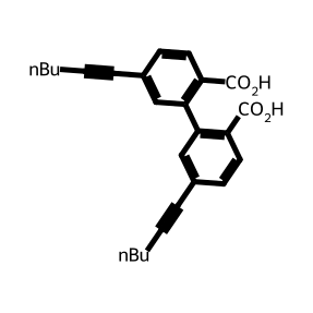 CCCCC#Cc1ccc(C(=O)O)c(-c2cc(C#CCCCC)ccc2C(=O)O)c1